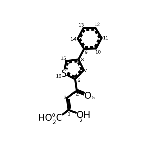 O=C(O)C(O)=CC(=O)c1cc(-c2ccccc2)cs1